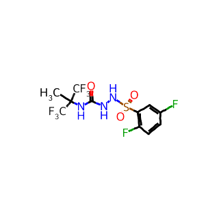 CC(NC(=O)NNS(=O)(=O)c1cc(F)ccc1F)(C(F)(F)F)C(F)(F)F